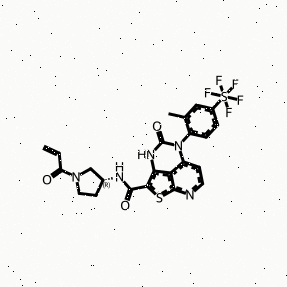 C=CC(=O)N1CC[C@@H](NC(=O)c2sc3nccc4c3c2NC(=O)N4c2ccc(S(F)(F)(F)(F)F)cc2C)C1